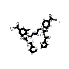 Cc1cc(C(N)=O)cc2nc(NC(=O)c3ccco3)n(C/C=C/Cn3c(NC(=O)c4ccco4)nc4cc(C(N)=O)ccc43)c12